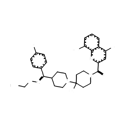 CCON=C(c1ccc(Br)cc1)C1CCN(C2(C)CCN(C(=O)c3cc(O)c4cccc(O)c4n3)CC2)CC1